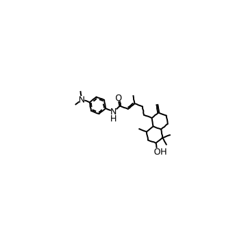 C=C1CCC2C(C(C)CC(O)C2(C)C)C1CCC(C)=CC(=O)Nc1ccc(N(C)C)cc1